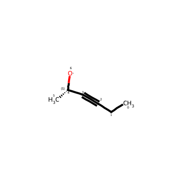 CCC#C[C@H](C)[O]